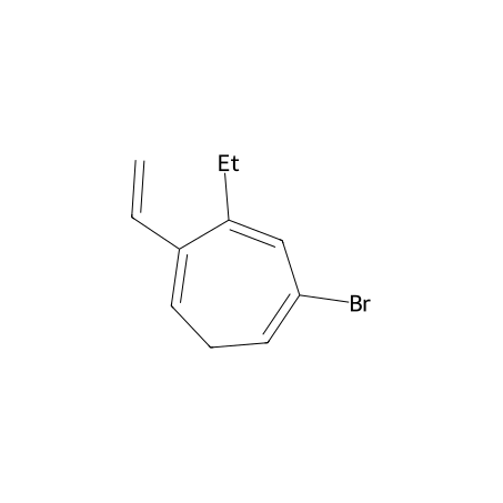 C=CC1=CCC=C(Br)C=C1CC